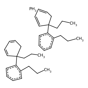 CCCc1ccccc1C1(CCC)C=CC=CC1.CCCc1ccccc1C1(CCC)C=CC=CC1.P